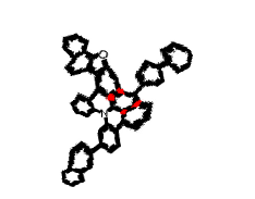 c1ccc(-c2ccc(-c3ccc(N(c4cc(-c5ccc6ccccc6c5)ccc4-c4ccccc4)c4ccccc4-c4cccc5oc6c7ccccc7ccc6c45)cc3)cc2)cc1